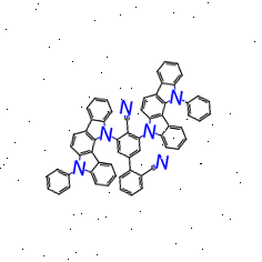 N#Cc1ccccc1-c1cc(-n2c3ccccc3c3c2ccc2c4ccccc4n(-c4ccccc4)c23)c(C#N)c(-n2c3ccccc3c3ccc4c(c5ccccc5n4-c4ccccc4)c32)c1